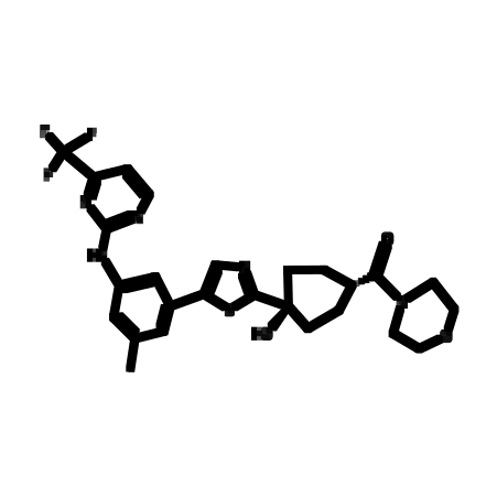 Cc1cc(Nc2nccc(C(F)(F)F)n2)cc(-c2cnc([C@]3(O)CC[C@H](C(=O)N4CCOCC4)CC3)s2)c1